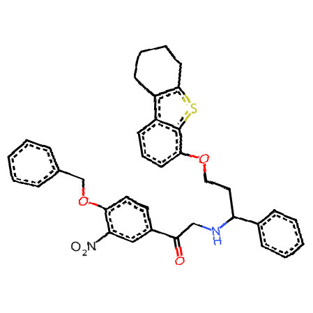 O=C(CNC(CCOc1cccc2c3c(sc12)CCCC3)c1ccccc1)c1ccc(OCc2ccccc2)c([N+](=O)[O-])c1